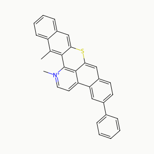 Cc1c2c(cc3ccccc13)Sc1cc3ccc(-c4ccccc4)cc3c3cc[n+](C)c-2c13